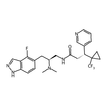 CN(C)[C@H](CNC(=O)C[C@H](c1cccnc1)C1(C(F)(F)F)CC1)Cc1ccc2[nH]ncc2c1F